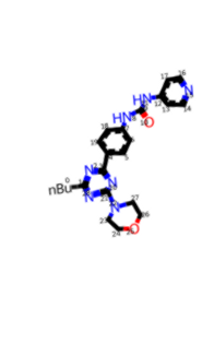 CCCCc1nc(-c2ccc(NC(=O)Nc3ccncc3)cc2)nc(N2CCOCC2)n1